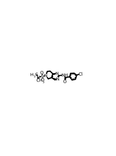 CN(C)S(=O)(=O)N1CCc2nc(NC(=O)c3ccc(Cl)cc3)ncc2C1